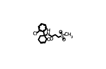 CS(=O)(=O)CCC(=O)NC1(c2ccccc2Cl)CCC=CC1=O